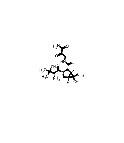 CC(C)(C)[C@H](N)C(=O)N1C[C@H]2[C@@H]([C@H]1C(=O)NCC(=O)C(N)=O)C2(C)C